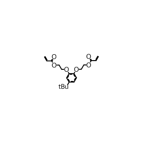 C=CC(=O)OCCOc1ccc(C(C)(C)C)cc1OCCOC(=O)C=C